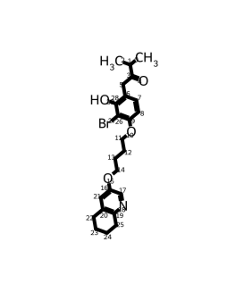 CC(C)C(=O)Cc1ccc(OCCCCOc2cnc3c(c2)CCCC3)c(Br)c1O